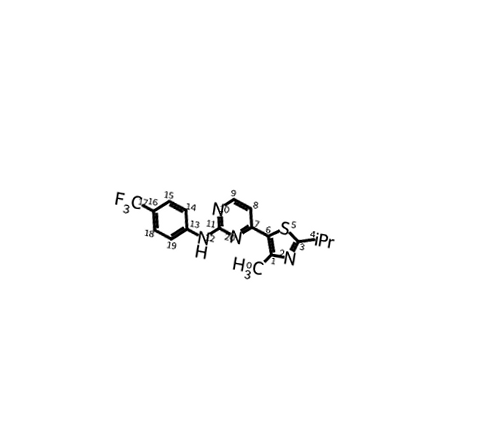 Cc1nc(C(C)C)sc1-c1ccnc(Nc2ccc(C(F)(F)F)cc2)n1